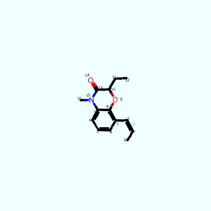 C/C=C\c1cccc2c1OC(CC)C(=O)N2C